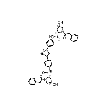 O=C(Nc1ccc(-c2cc(-c3ccc(NC(=O)[C@@H]4C[C@@H](O)CN4C(=O)Cc4ccccc4)cc3)[nH]n2)cc1)[C@@H]1C[C@@H](O)CN1C(=O)Cc1ccccc1